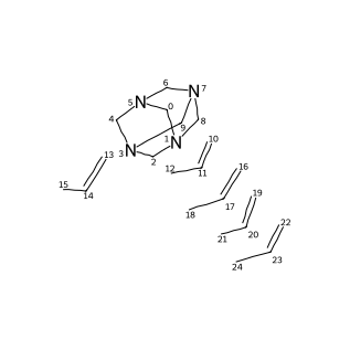 C1N2CN3CN1CN(C2)C3.C=CC.C=CC.C=CC.C=CC.C=CC